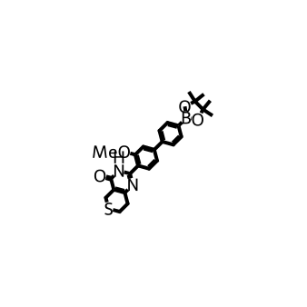 COc1cc(-c2ccc(B3OC(C)(C)C(C)(C)O3)cc2)ccc1-c1nc2c(c(=O)[nH]1)CSCC2